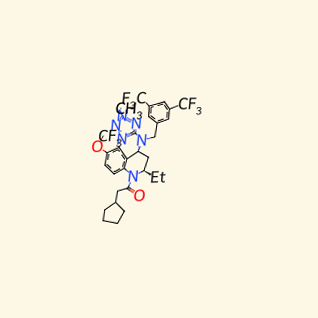 CC[C@@H]1C[C@H](N(Cc2cc(C(F)(F)F)cc(C(F)(F)F)c2)c2nnn(C)n2)c2cc(OC(F)(F)F)ccc2N1C(=O)CC1CCCC1